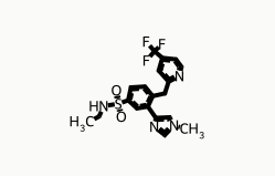 CCNS(=O)(=O)c1ccc(Cc2cc(C(F)(F)F)ccn2)c(-c2cn(C)cn2)c1